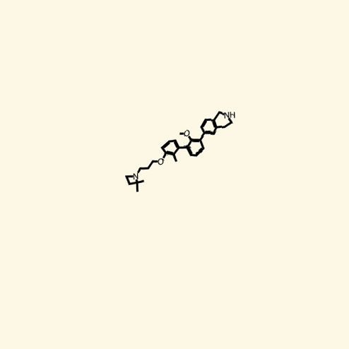 COc1c(-c2ccc3c(c2)CCNC3)cccc1-c1cccc(OCCCN2CCC2(C)C)c1C